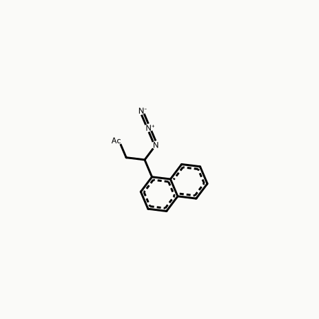 CC(=O)CC(N=[N+]=[N-])c1cccc2ccccc12